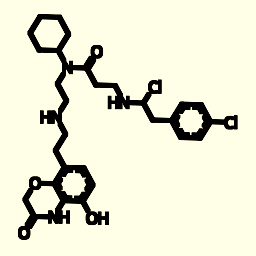 O=C1COc2c(CCNCCN(C(=O)CCNC(Cl)Cc3ccc(Cl)cc3)C3CCCCC3)ccc(O)c2N1